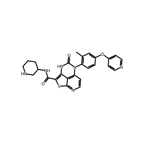 Cc1cc(Oc2ccncc2)ccc1N1C(=O)Nc2c(C(=O)NC3CCCNC3)sc3nccc1c23